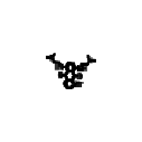 CN(C)CCNc1ccc(NCCN(C)C)c2c1C(=O)c1ccc[n+]([O-])c1C2=O